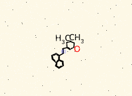 CC1(C)CC(=O)C=C(/C=C/c2cccc3ccccc23)C1